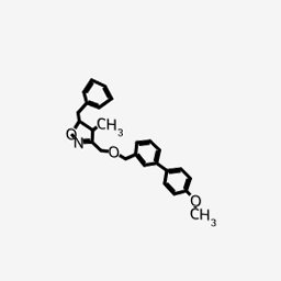 COc1ccc(-c2cccc(COCC3=NOC(Cc4ccccc4)C3C)c2)cc1